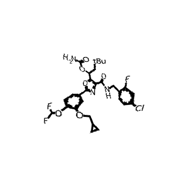 CC(C)(C)CC(OC(N)=O)c1oc(-c2ccc(OC(F)F)c(OCC3CC3)c2)nc1C(=O)NCc1ccc(Cl)cc1F